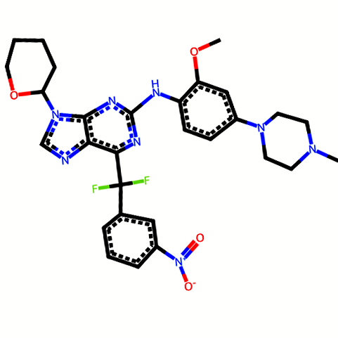 COc1cc(N2CCN(C)CC2)ccc1Nc1nc(C(F)(F)c2cccc([N+](=O)[O-])c2)c2ncn(C3CCCCO3)c2n1